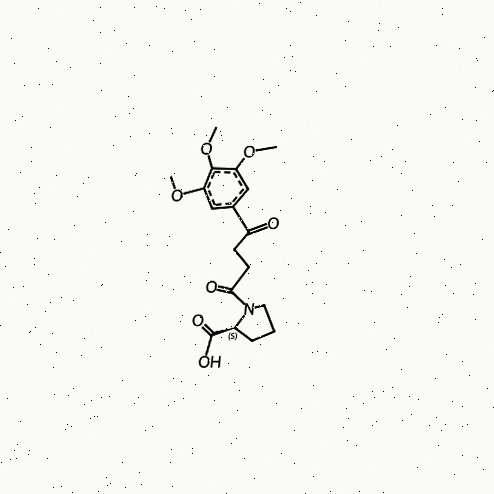 COc1cc(C(=O)CCC(=O)N2CCC[C@H]2C(=O)O)cc(OC)c1OC